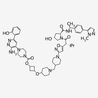 CC(C)[C@@H](C(=O)N1C[C@H](O)C[C@H]1C(=O)N[C@@H](C)c1ccc(-c2ccnn2C)cc1)c1cc(N2CCC(CN3CCC(OC4CC(OC(=O)N5CCN(c6cc(-c7ccccc7O)nnc6N)CC5)C4)CC3)CC2)no1